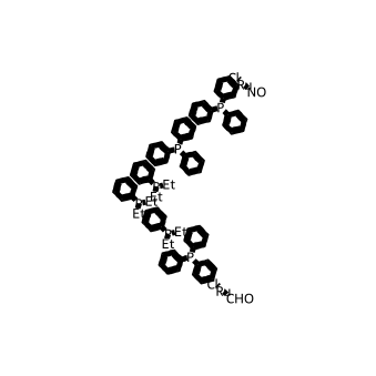 CCP(CC)c1ccccc1.CCP(CC)c1ccccc1.CCP(CC)c1ccccc1.O=[CH][Ru][Cl].O=[N][Ru][Cl].c1ccc(P(c2ccccc2)c2ccccc2)cc1.c1ccc(P(c2ccccc2)c2ccccc2)cc1.c1ccc(P(c2ccccc2)c2ccccc2)cc1